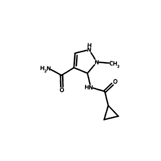 CN1NC=C(C(N)=O)C1NC(=O)C1CC1